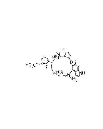 N/C1=C\N(N)Cc2c(c(F)cc3[nH]ccc23)Oc2ccc(F)c(c2)-c2ncc([nH]2)C(c2cccc(CCC(=O)O)c2F)CCSCC1